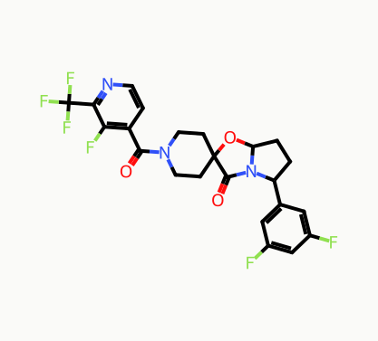 O=C(c1ccnc(C(F)(F)F)c1F)N1CCC2(CC1)OC1CCC(c3cc(F)cc(F)c3)N1C2=O